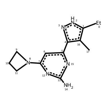 CCc1[nH]nc(-c2cc(N3C[CH]C3)nc(N)n2)c1C